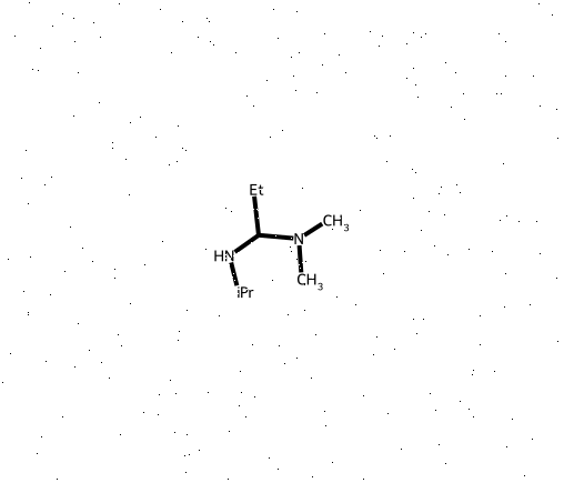 CCC(NC(C)C)N(C)C